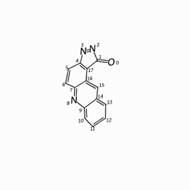 O=C1N=Nc2ccc3nc4ccccc4cc3c21